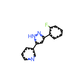 Fc1ccccc1-c1cc(-c2cccnc2)[nH]n1